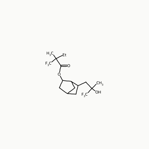 CCC(C)(C(=O)OC1CC2CC(CC(C)(O)C(F)(F)F)C1C2)C(F)(F)F